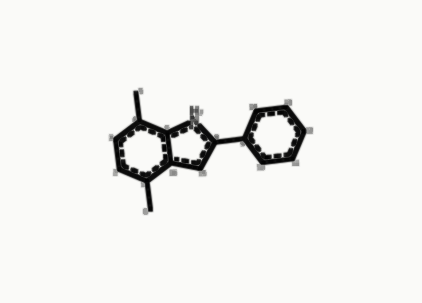 Cc1ccc(C)c2[nH]c(-c3ccccc3)cc12